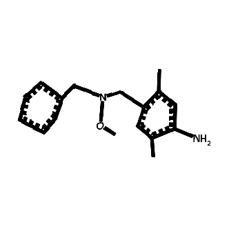 CON(Cc1ccccc1)Cc1cc(C)c(N)cc1C